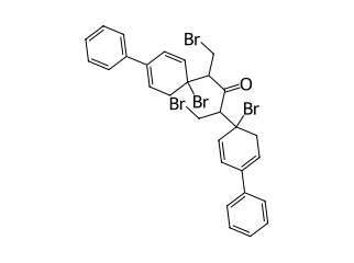 O=C(C(CBr)C1(Br)C=CC(c2ccccc2)=CC1)C(CBr)C1(Br)C=CC(c2ccccc2)=CC1